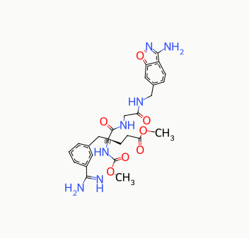 COC(=O)CC[C@](Cc1cccc(C(=N)N)c1)(NC(=O)OC)C(=O)NCC(=O)NCc1ccc2c(N)noc2c1